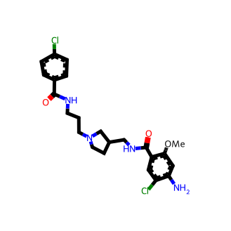 COc1cc(N)c(Cl)cc1C(=O)NCC1CCN(CCCNC(=O)c2ccc(Cl)cc2)C1